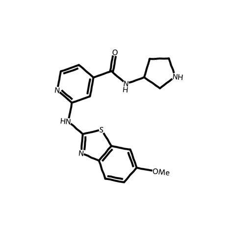 COc1ccc2nc(Nc3cc(C(=O)NC4CCNC4)ccn3)sc2c1